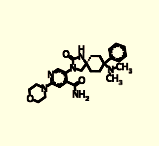 CN(C)[C@]1(c2ccccc2)CC[C@]2(CC1)CN(c1cnc(N3CCOCC3)cc1C(N)=O)C(=O)N2